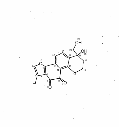 Cc1coc2c1C(=O)C(=O)c1c-2ccc2c1CCCC2(O)CO